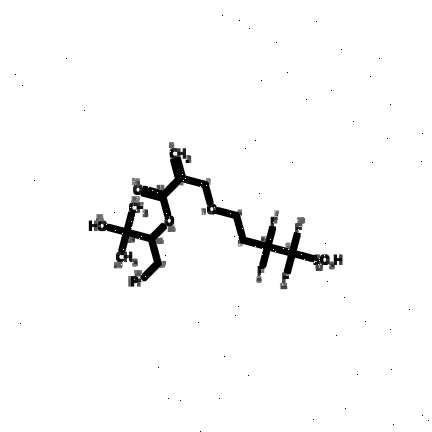 C=C(COCCC(F)(F)C(F)(F)S(=O)(=O)O)C(=O)OC(CC(C)C)C(C)(O)C(F)(F)F